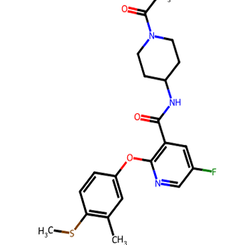 CSc1ccc(Oc2ncc(F)cc2C(=O)NC2CCN(C(C)=O)CC2)cc1C